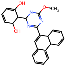 COC1=NC(C2=Cc3ccccc3C3C=CC=CC23)=NC(C2C(O)=CC=CC2O)N1